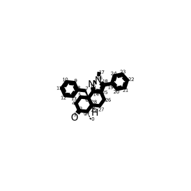 C[C@@H]1C(=O)CC[C@]2(Cc3ccccc3)c3nn(C)c(-c4ccccc4)c3CC[C@@H]12